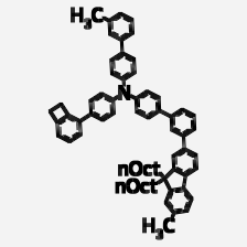 CCCCCCCCC1(CCCCCCCC)c2cc(C)ccc2-c2ccc(-c3cccc(-c4ccc(N(c5ccc(-c6cccc(C)c6)cc5)c5ccc(-c6cccc7c6CC7)cc5)cc4)c3)cc21